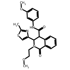 COCCN1C(=O)c2ccccc2C(C(=O)Nc2cccc(OC)c2)C1c1csc(C)n1